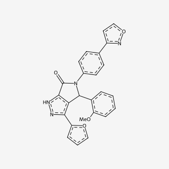 COc1ccccc1C1c2c(-c3ccco3)n[nH]c2C(=O)N1c1ccc(-c2ccon2)cc1